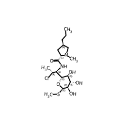 CCC[C@@H]1C[C@@H](C(=O)N[C@@H]([C@H]2O[C@H](SC)[C@H](O)[C@@H](O)[C@H]2O)[C@@H](C)Cl)N(C)C1